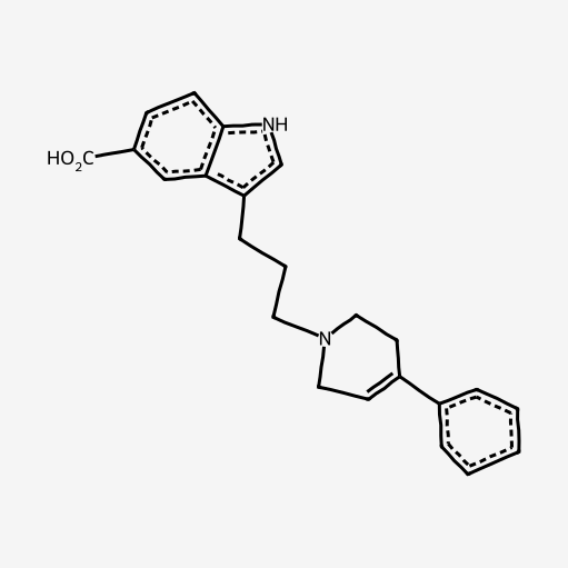 O=C(O)c1ccc2[nH]cc(CCCN3CC=C(c4ccccc4)CC3)c2c1